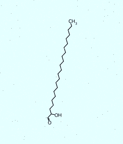 CCCCCCCCCCCCCCCCCCCCCC(O)[C]=O